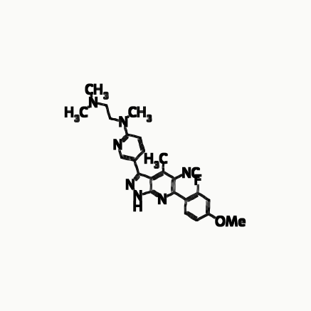 [C-]#[N+]c1c(-c2ccc(OC)cc2F)nc2[nH]nc(-c3ccc(N(C)CCN(C)C)nc3)c2c1C